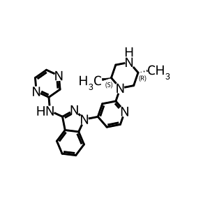 C[C@@H]1CN(c2cc(-n3nc(Nc4cnccn4)c4ccccc43)ccn2)[C@@H](C)CN1